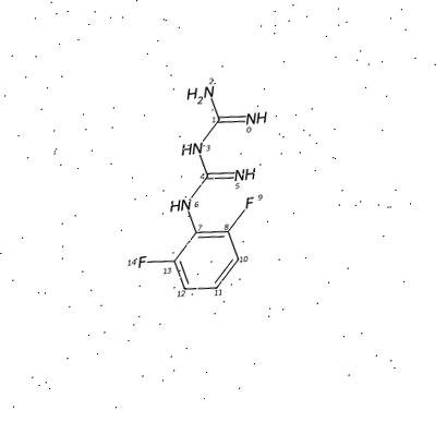 N=C(N)NC(=N)Nc1c(F)cccc1F